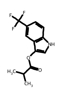 CC(C)C(=O)Oc1c[nH]c2ccc(C(F)(F)F)cc12